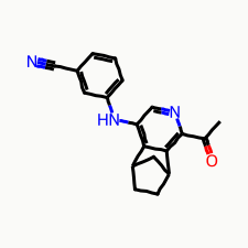 CC(=O)c1ncc(Nc2cccc(C#N)c2)c2c1C1CCC2C1